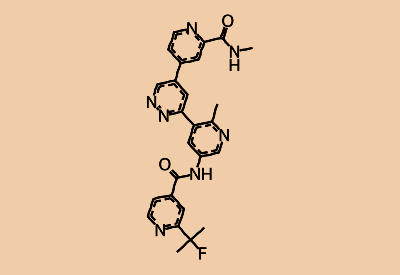 CNC(=O)c1cc(-c2cnnc(-c3cc(NC(=O)c4ccnc(C(C)(C)F)c4)cnc3C)c2)ccn1